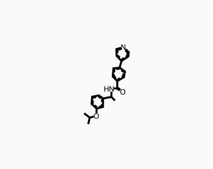 CC(C)Oc1cccc(C(C)NC(=O)c2ccc(-c3ccncc3)cc2)c1